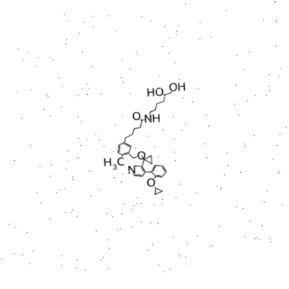 Cc1ccc(CCCCC(=O)NCCCCC(O)CO)cc1COC1(c2cnccc2-c2ccccc2OC2CC2)CC1